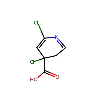 O=C(O)C1(Cl)C=C(Cl)N=CC1